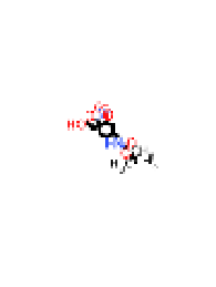 CC(C)(C)OC(=O)NCC1CCC(CC(=O)O)(C[N+](=O)[O-])CC1